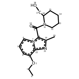 CCOc1cccn2c(C(=O)N3CCCCC3CO)c(C)nc12